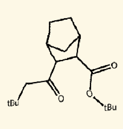 CC(C)(C)CC(=O)C1C2CCC(C2)C1C(=O)OC(C)(C)C